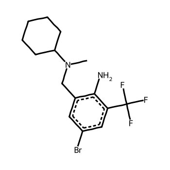 CN(Cc1cc(Br)cc(C(F)(F)F)c1N)C1CCCCC1